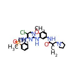 C=C(CN1CCCC1)C(=O)Nc1ccc(OC)c(Nc2ncc(Cl)c(Nc3ccccc3P(C)(C)=O)n2)c1